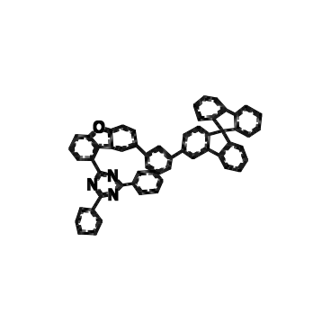 c1ccc(-c2nc(-c3ccccc3)nc(-c3cccc4oc5ccc(-c6cccc(-c7ccc8c(c7)-c7ccccc7C87c8ccccc8-c8ccccc87)c6)cc5c34)n2)cc1